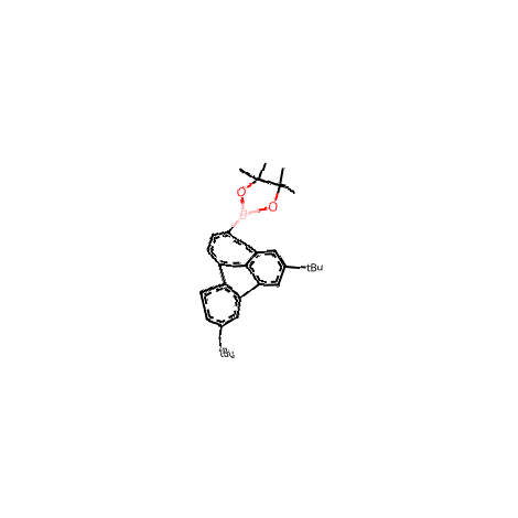 CC(C)(C)c1ccc2c(c1)-c1cc(C(C)(C)C)cc3c(B4OC(C)(C)C(C)(C)O4)ccc-2c13